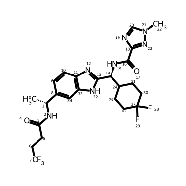 C[C@@H](NC(=O)CCC(F)(F)F)c1ccc2nc([C@@H](NC(=O)c3ncn(C)n3)C3CCC(F)(F)CC3)[nH]c2c1